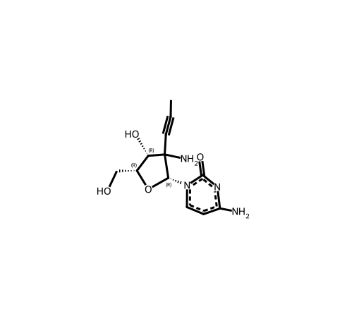 CC#CC1(N)[C@@H](O)[C@@H](CO)O[C@H]1n1ccc(N)nc1=O